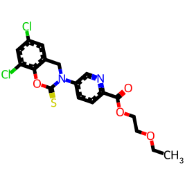 CCOCCOC(=O)c1ccc(N2Cc3cc(Cl)cc(Cl)c3OC2=S)cn1